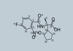 C[C@@](NC(=O)c1ccc(F)cc1[N+](=O)[O-])(C(=O)O)C1CCCC1